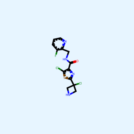 O=C(NCc1ncccc1F)c1nc(C2(Cl)CNC2)sc1Cl